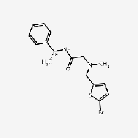 C[C@@H](NC(=O)CN(C)Cc1ccc(Br)s1)c1ccccc1